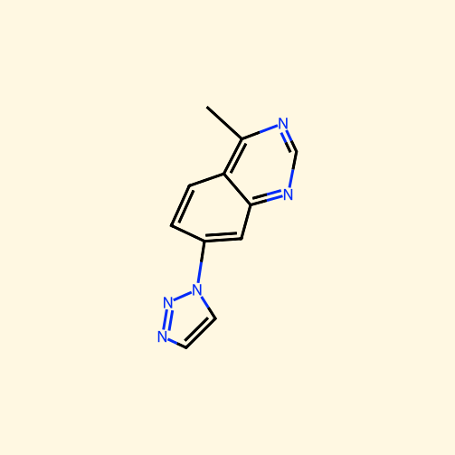 Cc1ncnc2cc(-n3ccnn3)ccc12